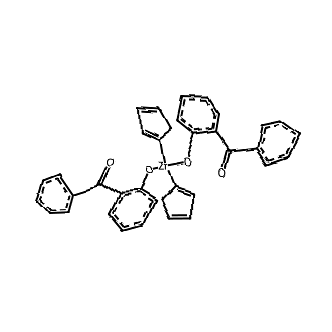 O=C(c1ccccc1)c1ccccc1[O][Zr]([O]c1ccccc1C(=O)c1ccccc1)([C]1=CC=CC1)[C]1=CC=CC1